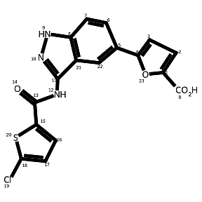 O=C(O)c1ccc(-c2ccc3[nH]nc(NC(=O)c4ccc(Cl)s4)c3c2)o1